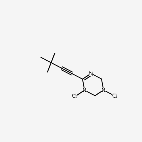 CC(C)(C)C#CC1=NCN(Cl)CN1Cl